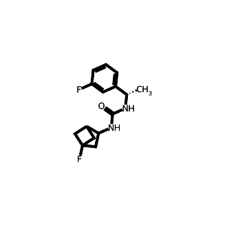 C[C@H](NC(=O)NC1CC2(F)CC1C2)c1cccc(F)c1